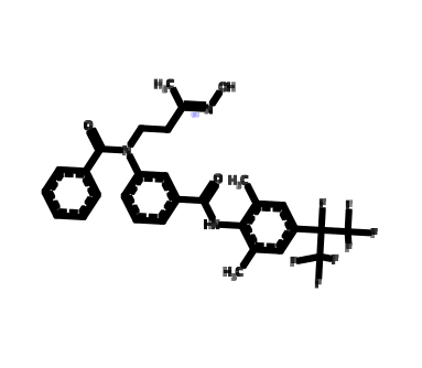 C/C(CCN(C(=O)c1ccccc1)c1cccc(C(=O)Nc2c(C)cc(C(F)(C(F)(F)F)C(F)(F)F)cc2C)c1)=N\O